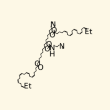 CC/C=C\C/C=C\C/C=C\C/C=C\C/C=C\CCCC(=O)OCCCCCCC(CCCCCC(CCCN(C)C)OC(=O)CCC/C=C\C/C=C\C/C=C\C/C=C\C/C=C\CC)OC(=O)NCCCN(C)C